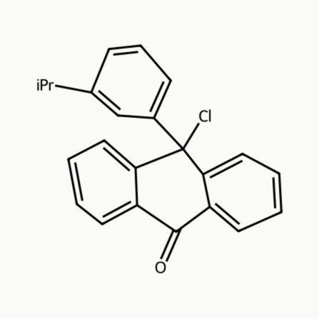 CC(C)c1cccc(C2(Cl)c3ccccc3C(=O)c3ccccc32)c1